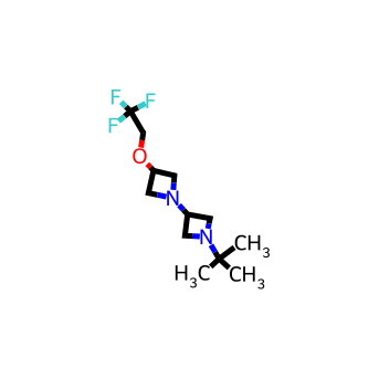 CC(C)(C)N1CC(N2CC(OCC(F)(F)F)C2)C1